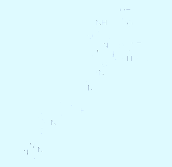 CC(C)(C)OC(=O)N(C[C@@H]1CC(c2ccc(-c3ccc(N4C[C@H](Cn5ccnn5)OC4=O)cc3F)cn2)=NO1)[C@@H](CCC(=O)O)C(N)=O